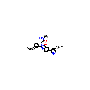 COc1cccc(-c2nc3ccc(-c4cncc(C=O)c4)cc3c(=O)n2CC(=O)NC(C)C)c1